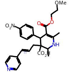 COCCOC(=O)C1=C(C)NC(C)C(C/C=C/c2ccncc2)(C(=O)O)C1c1ccc([N+](=O)[O-])cc1